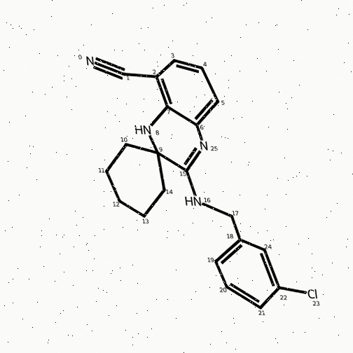 N#Cc1cccc2c1NC1(CCCCC1)C(NCc1cccc(Cl)c1)=N2